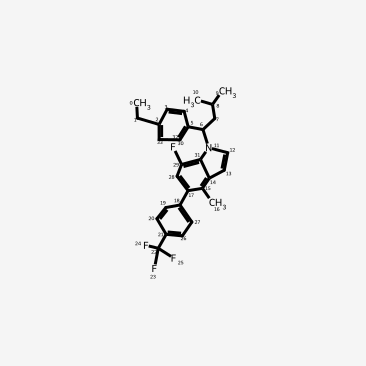 CCc1ccc(C(CC(C)C)n2ccc3c(C)c(-c4ccc(C(F)(F)F)cc4)cc(F)c32)cc1